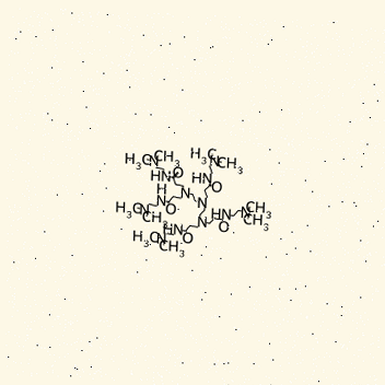 CN(C)CCNC(=O)CCN(CCC(=O)NCCN(C)C)CCN(CCC(=O)NCCN(C)C)CCN(CCC(=O)NCCN(C)C)CCC(=O)NCCN(C)C